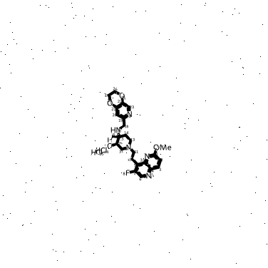 COc1ccc2ncc(F)c(CCN3CCC(C)(NCc4cc5c(cn4)OCCO5)C(O)C3)c2n1.Cl.Cl